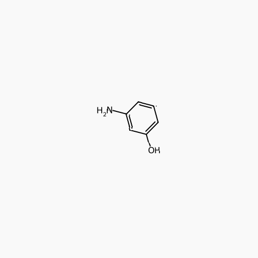 Nc1c[c]cc(O)c1